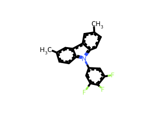 Cc1ccc2c(c1)c1cc(C)ccc1n2-c1cc(F)c(F)c(F)c1